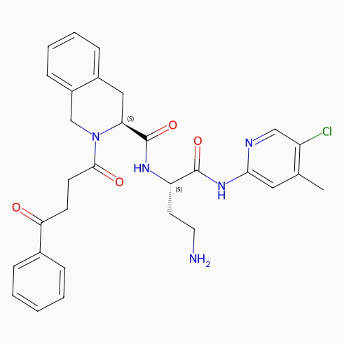 Cc1cc(NC(=O)[C@H](CCN)NC(=O)[C@@H]2Cc3ccccc3CN2C(=O)CCC(=O)c2ccccc2)ncc1Cl